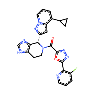 O=C(c1nnc(-c2ncccc2F)o1)N1CCc2[nH]cnc2[C@@H]1c1cc2c(C3CC3)cccn2n1